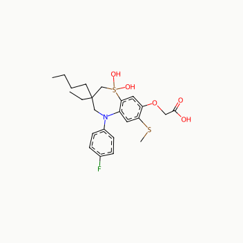 CCCCC1(CC)CN(c2ccc(F)cc2)c2cc(SC)c(OCC(=O)O)cc2S(O)(O)C1